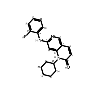 O=c1ccc2cnc(Nc3ccccc3F)cc2n1C1CCCCC1